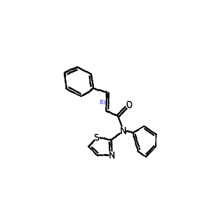 O=C(/C=C/c1ccccc1)N(c1ccccc1)c1nccs1